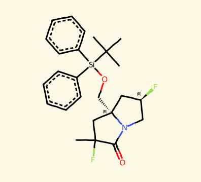 CC1(F)C[C@@]2(CO[Si](c3ccccc3)(c3ccccc3)C(C)(C)C)C[C@@H](F)CN2C1=O